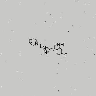 Fc1ccc2c(-c3cnn(CCN4CCOCC4)c3)c[nH]c2c1